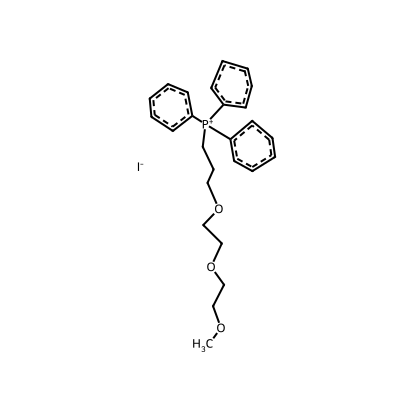 COCCOCCOCCC[P+](c1ccccc1)(c1ccccc1)c1ccccc1.[I-]